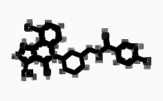 Cc1noc2c1c(=O)n(C1CCCC(CNC(=O)c3ccc(Cl)nc3)C1)c1cccc(Cl)c21